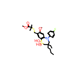 CCCCC1(CC)CN(c2ccc(F)cc2)c2cc(OC)c(CSC(C)(C)C(=O)OC)cc2S(O)(O)C1